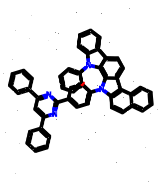 c1ccc(-c2cc(-c3ccccc3)nc(-c3ccc(-n4c5ccc6ccccc6c5c5ccc6c7ccccc7n(-c7ccccc7)c6c54)cc3)n2)cc1